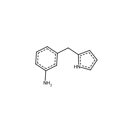 Nc1cccc(Cc2ccc[nH]2)c1